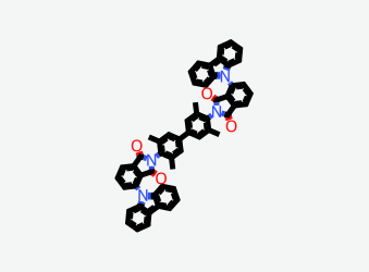 Cc1cc(-c2cc(C)c(N3C(=O)c4cccc(-n5c6ccccc6c6ccccc65)c4C3=O)c(C)c2)cc(C)c1N1C(=O)c2cccc(-n3c4ccccc4c4ccccc43)c2C1=O